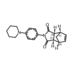 O=C1[C@@H]2[C@H](C(=O)N1c1ccc(N3CCCCC3)cc1)[C@@H]1C=C[C@H]2C1